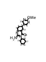 COc1ncc(-c2ccc3nc(N)n(-c4ccccc4)c(=O)c3c2)cn1